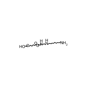 NCCCCCCCCCCNCCCNCCOC(=O)CCCCCOCCO